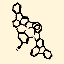 N#Cc1cc(C#N)c(-n2c3ccccc3c3cc4c5c(cccc5c32)-c2ccccc2-4)c(-n2c3ccccc3c3cc4c5c(cccc5c32)-c2ccccc2-4)c1